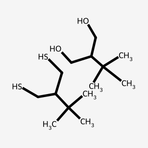 CC(C)(C)C(CO)CO.CC(C)(C)C(CS)CS